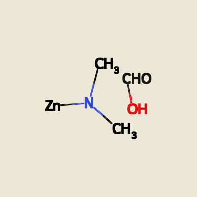 C[N](C)[Zn].O=CO